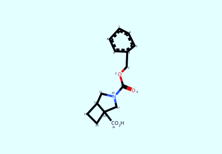 O=C(OCc1ccccc1)N1CC2CCC2(C(=O)O)C1